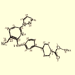 CC(C)(C)OC(=O)N1CCC(c2ccc(Nc3nc(-n4cccn4)cnc3C#N)cc2)CC1